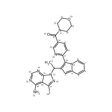 CC(c1cc2ccccn2c1-c1ccc(C(=O)N2CCOCC2)cn1)n1nc(I)c2c(N)ncnc21